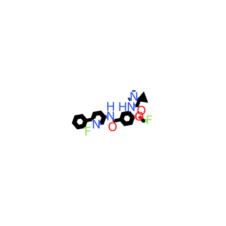 CN(C)C1(C(=O)Nc2cc(C(=O)Nc3ccc(-c4ccccc4F)nc3)ccc2OCF)CC1